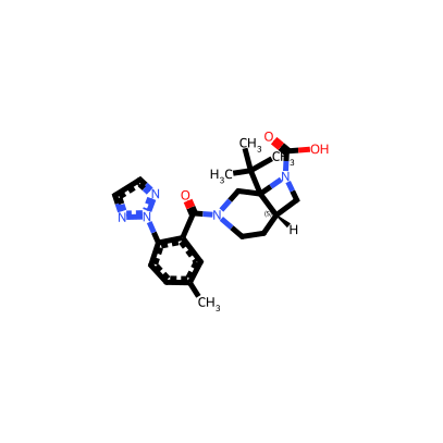 Cc1ccc(-n2nccn2)c(C(=O)N2CC[C@H]3CN(C(=O)O)C3(C(C)(C)C)C2)c1